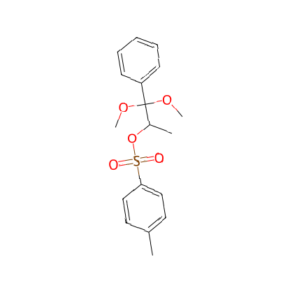 COC(OC)(c1ccccc1)C(C)OS(=O)(=O)c1ccc(C)cc1